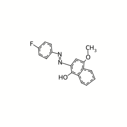 COc1cc(N=Nc2ccc(F)cc2)c(O)c2ccccc12